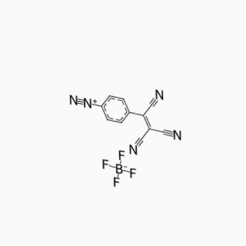 F[B-](F)(F)F.N#CC(C#N)=C(C#N)c1ccc([N+]#N)cc1